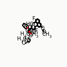 C#Cc1c(F)ccc2cc(OCOC)cc(-c3ncc4c(N5CC6CCC(C5)N6C(=O)OC(C)(C)C)nc(OC[C@@H]5CC[C@@H](C=O)N5C)nc4c3F)c12